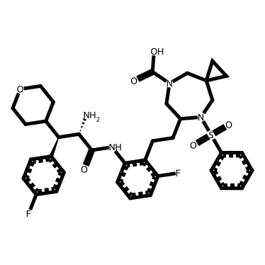 N[C@H](C(=O)Nc1cccc(F)c1CCC1CN(C(=O)O)CC2(CC2)CN1S(=O)(=O)c1ccccc1)[C@@H](c1ccc(F)cc1)C1CCOCC1